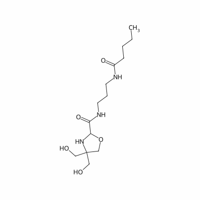 CCCCC(=O)NCCCNC(=O)C1NC(CO)(CO)CO1